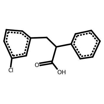 O=C(O)C(Cc1cccc(Cl)c1)c1ccccc1